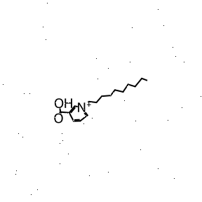 CCCCCCCCCC[n+]1cccc(C(=O)O)c1